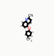 N#Cc1ccc2c(Oc3ccc(C(F)(F)F)cc3)cccc2n1